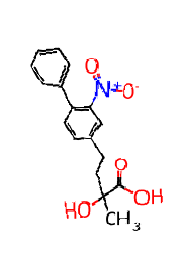 CC(O)(CCc1ccc(-c2ccccc2)c([N+](=O)[O-])c1)C(=O)O